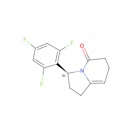 O=C1CCC=C2CC[C@@H](c3c(F)cc(F)cc3F)N12